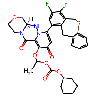 CC(OC(=O)OC1CCCCC1)Oc1c2n(c(-c3cc(F)c(F)c4c3Cc3ccccc3SC4)cc1=O)N[C@@H]1COCCN1C2=O